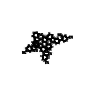 N#Cc1ccc(-c2ccc3c(c2)c2ccccc2n3-c2ccc(C#N)cc2-c2ccc(C#N)c(-n3c4ccccc4c4cc(-c5ccc(C#N)cc5C#N)ccc43)c2-n2c3ccccc3c3cc(-c4ccc(C#N)cc4C#N)ccc32)c(C#N)c1